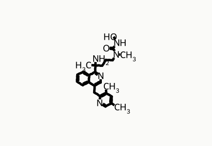 Cc1cnc(Cc2cnc(C(C)(N)CCCN(C)C(=O)NO)c3ccccc23)c(C)c1